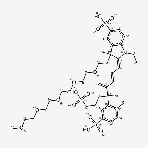 C=C(/C=C/C=C1/N(CC)c2ccc(S(=O)(=O)O)cc2C1(C)CCOCCOCCOCCOCCOC)C(C)(CCCS(=O)(=O)O)c1cc(S(=O)(=O)O)ccc1C